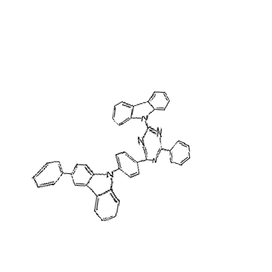 c1ccc(-c2ccc3c(c2)c2ccccc2n3-c2ccc(-c3nc(-c4ccccc4)nc(-n4c5ccccc5c5ccccc54)n3)cc2)cc1